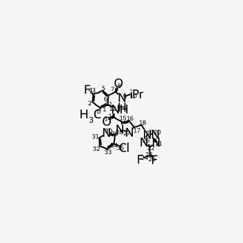 Cc1cc(F)cc(C(=O)NC(C)C)c1NC(=O)c1cc(Cn2nnc(C(F)F)n2)nn1-c1ncccc1Cl